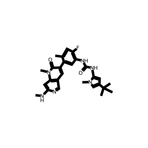 CNc1cc2c(cn1)cc(-c1cc(NC(=O)Nc3cc(C(C)(C)C)cn3C)c(F)cc1C)c(=O)n2C